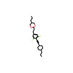 CCCC1CCC(C#Cc2c(F)cc(CCC3OCC(CCC)CO3)cc2F)CC1